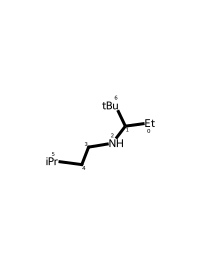 CCC(NCCC(C)C)C(C)(C)C